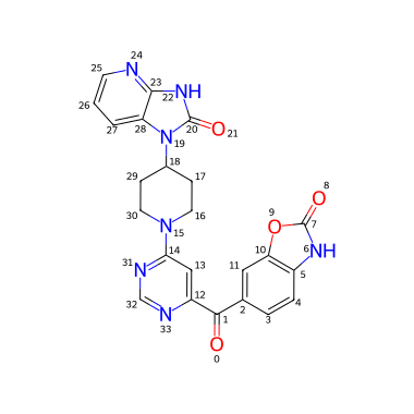 O=C(c1ccc2[nH]c(=O)oc2c1)c1cc(N2CCC(n3c(=O)[nH]c4ncccc43)CC2)ncn1